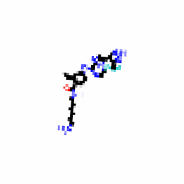 CCc1cc(Nc2nccn3c(-c4c[nH]nc4C(F)(F)F)cnc23)ccc1C(=O)NCCCCCCN